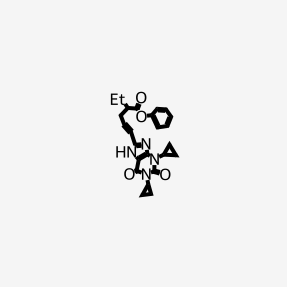 CCC(CC#Cc1nc2c([nH]1)c(=O)n(C1CC1)c(=O)n2C1CC1)C(=O)Oc1ccccc1